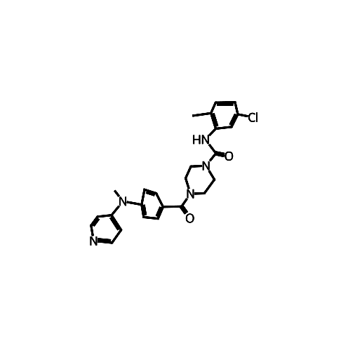 Cc1ccc(Cl)cc1NC(=O)N1CCN(C(=O)c2ccc(N(C)c3ccncc3)cc2)CC1